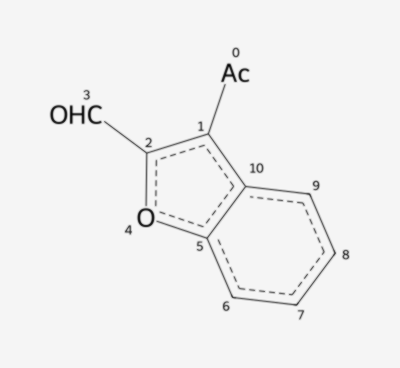 CC(=O)c1c(C=O)oc2ccccc12